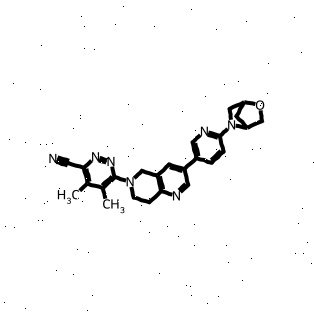 Cc1c(C#N)nnc(N2CCc3ncc(-c4ccc(N5CC6CC5CO6)nc4)cc3C2)c1C